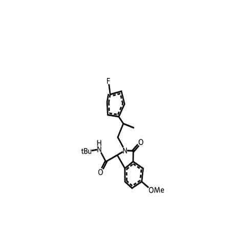 COc1ccc2c(c1)C(=O)N(CC(C)c1ccc(F)cc1)C2C(=O)NC(C)(C)C